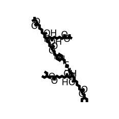 CCC(CC)COC(=O)CCCCC(O)CN(CCCSSCCN1CCN(CCOC(=O)CCCN(CC(O)CCCCC(=O)OC(C)C)CC(O)CCCCC(=O)OC(C)C)CC1)CC(O)CCCCC(=O)OCC(CC)CC